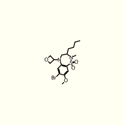 CCCCC1CN(C2COC2)c2cc(Br)c(OC)cc2S(=O)(=O)N1C